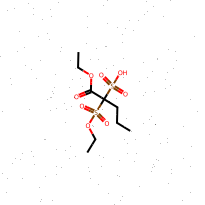 CCCC(C(=O)OCC)(S(=O)(=O)O)S(=O)(=O)OCC